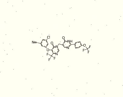 N#Cc1cc(Cl)cc(Oc2c(C(F)(F)F)ncn(Cc3cnc(-c4ccc(OC(F)(F)F)cc4)[nH]c3=O)c2=O)c1